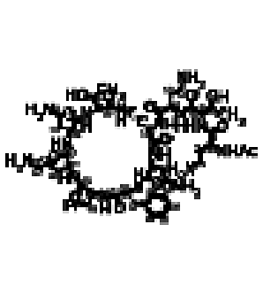 CC(=O)N[C@@H](CCN)C(=O)N[C@H](C(=O)N[C@@H](CCN)C(=O)N[C@H]1CCNC(=O)[C@H]([C@@H](C)O)NC(=O)[C@H](CCN)NC(=O)[C@H](CCCN)NC(=O)[C@H](CC(C)C)NC(=O)[C@@H](Cc2ccccc2)NC(=O)[C@H](CCN)NC1=O)[C@@H](C)O